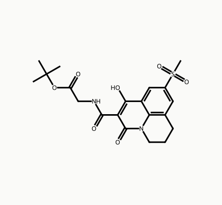 CC(C)(C)OC(=O)CNC(=O)c1c(O)c2cc(S(C)(=O)=O)cc3c2n(c1=O)CCC3